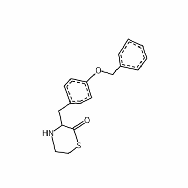 O=C1SCCNC1Cc1ccc(OCc2ccccc2)cc1